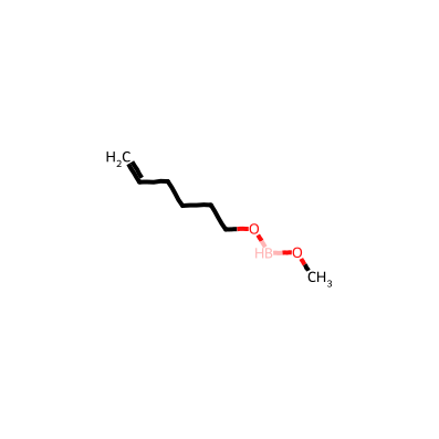 C=CCCCCOBOC